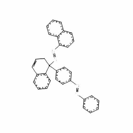 C1=Cc2ccccc2C(N=Nc2cccc3ccccc23)(c2ccc(N=Nc3ccccc3)cc2)C1